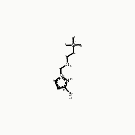 C[Si](C)(C)CCOCn1ccc(Br)n1